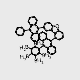 Bc1c(B)c(B)c(-c2c3ccccc3c(-c3cccc4oc5ccc(-c6c7ccccc7c(-c7ccccc7)c7ccccc67)cc5c34)c3ccccc23)c(B)c1B